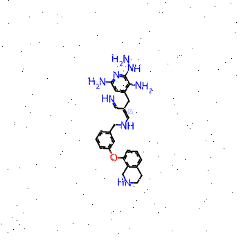 N=C/C(=C\NCc1cccc(Oc2cccc3c2CNCC3)c1)Cc1cc(N)nc(NN)c1N